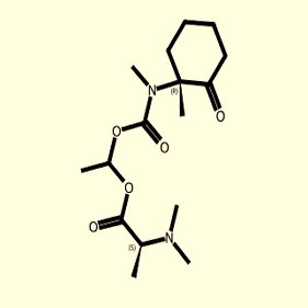 CC(OC(=O)[C@H](C)N(C)C)OC(=O)N(C)[C@]1(C)CCCCC1=O